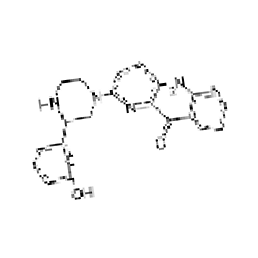 Nc1ncccc1C(=O)c1cccc(N2CCNC(c3cccc(O)c3)C2)n1